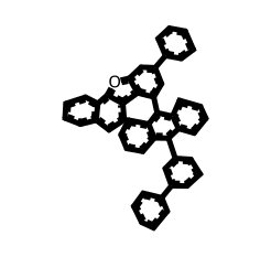 c1ccc(-c2cccc(-c3c4ccccc4c(-c4cc(-c5ccccc5)cc5oc6c7ccccc7ccc6c45)c4ccccc34)c2)cc1